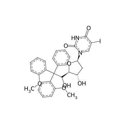 COc1ccccc1C(c1ccccc1)(c1ccccc1OC)C(O)[C@H]1O[C@@H](n2cc(I)c(=O)[nH]c2=O)C[C@@H]1O